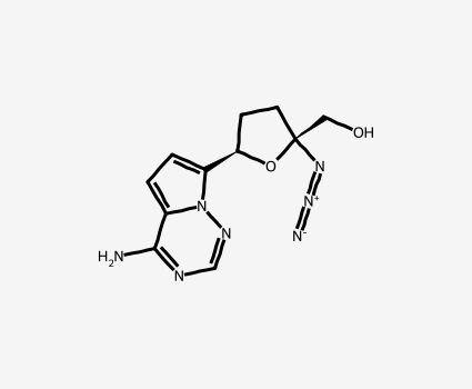 [N-]=[N+]=N[C@@]1(CO)CC[C@H](c2ccc3c(N)ncnn23)O1